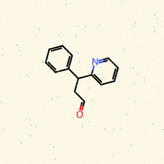 O=CCC(c1ccccc1)c1ccccn1